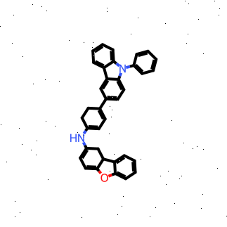 C1=C(NC2=CC=C3Oc4ccccc4C3C2)CCC(c2ccc3c(c2)c2ccccc2n3-c2ccccc2)=C1